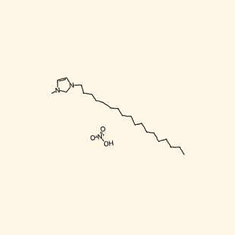 CCCCCCCCCCCCCCCCCCN1C=CN(C)C1.O=[N+]([O-])O